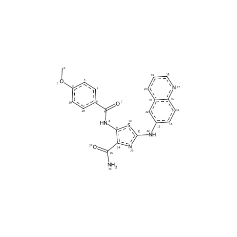 COc1ccc(C(=O)Nc2sc(Nc3ccc4ncccc4c3)nc2C(N)=O)cc1